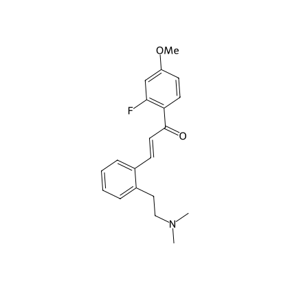 COc1ccc(C(=O)C=Cc2ccccc2CCN(C)C)c(F)c1